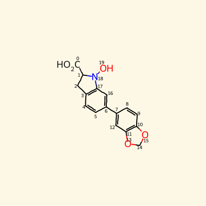 O=C(O)C1Cc2ccc(-c3ccc4c(c3)OCO4)cc2N1O